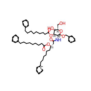 O=C(C[C@H](CCCCCCc1ccccc1)OC(=O)CCCCCCCCc1ccccc1)N[C@H]1[C@H](OCc2ccccc2)O[C@H](CO)[C@@H](O)[C@@H]1OC(=O)CCCCCCCCc1ccccc1